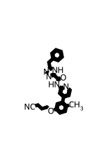 Cc1ccc(OCCCC#N)cc1-c1ccnc(NC(=O)c2nnc(Cc3ccccc3)[nH]2)c1